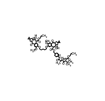 C=CCOC(=O)N[C@H](C(=O)N[C@@H](C)C(=O)Nc1ccc(COC(=O)N2c3cc(OCCCCCOc4cc5c(cc4OC)C(=O)N4CC6(CC6)C[C@H]4C(O)N5C(=O)OCC=C)c(OC)cc3C(=O)N3CC4(CC4)C[C@H]3C2O)cc1)C(C)C